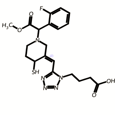 COC(=O)C(c1ccccc1F)N1CCC(S)/C(=C\c2nnnn2CCCC(=O)O)C1